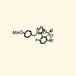 COc1ccc(Cn2nnnc2-c2c(I)ccc(Br)c2S(=O)(=O)Cl)cc1